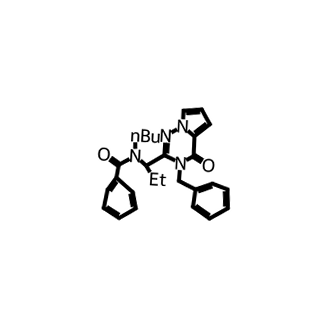 CCCCN(C(=O)c1ccccc1)C(CC)c1nn2cccc2c(=O)n1Cc1ccccc1